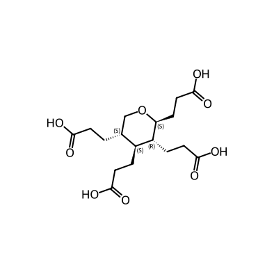 O=C(O)CC[C@@H]1CO[C@@H](CCC(=O)O)[C@H](CCC(=O)O)[C@H]1CCC(=O)O